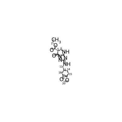 CCOC(=O)c1c[nH]c2nc(NCc3ccc4c(c3)OCO4)nn2c1=O